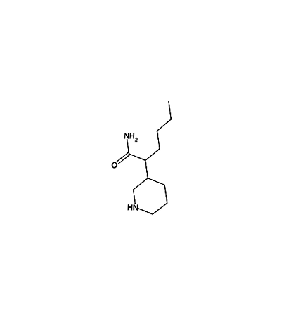 CCCCC(C(N)=O)C1CCCNC1